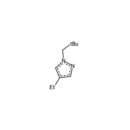 CCc1cnn(CC(C)(C)C)c1